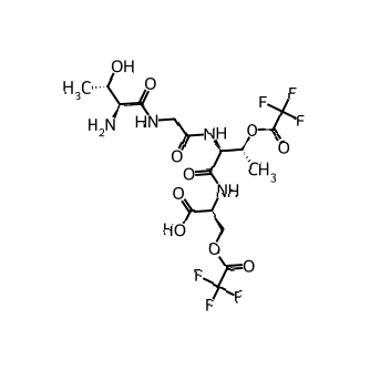 C[C@H](O)[C@H](N)C(=O)NCC(=O)N[C@H](C(=O)N[C@@H](COC(=O)C(F)(F)F)C(=O)O)[C@@H](C)OC(=O)C(F)(F)F